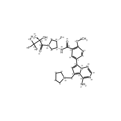 COc1ncc(-c2cc(CN3CCCC3)c3c(N)ncnn23)cc1C(=O)N[C@@H]1CN(C(=O)[C@@](C)(O)C(F)(F)F)C[C@@H]1F